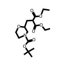 CCOC(=O)C(CC1CN(C(=O)OC(C)(C)C)CCO1)C(=O)OCC